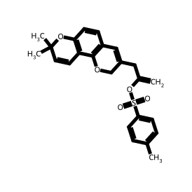 C=C(CC1=Cc2ccc3c(c2OC1)C=CC(C)(C)O3)OS(=O)(=O)c1ccc(C)cc1